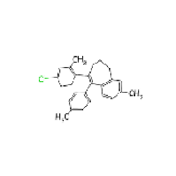 CC1=C(C2=C(c3ccc(C)cc3)c3ccc(C)cc3CCC2)CCC(Cl)=C1